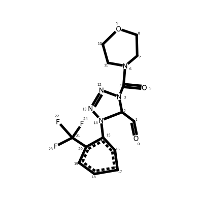 O=CC1N(C(=O)N2CCOCC2)N=NN1c1ccccc1C(F)(F)F